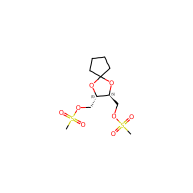 CS(=O)(=O)OC[C@@H]1OC2(CCCC2)O[C@H]1COS(C)(=O)=O